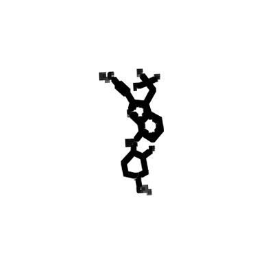 CC#Cc1sc2c(NC3CCN(C)CC3F)cccc2c1CC(F)(F)F